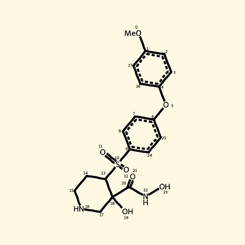 COc1ccc(Oc2ccc(S(=O)(=O)C3CCNCC3(O)C(=O)NO)cc2)cc1